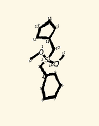 CO[Si](CC1CCCCC1)(CC1CCCC1)OC